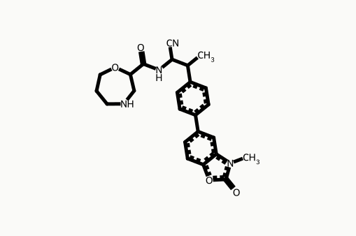 CC(c1ccc(-c2ccc3oc(=O)n(C)c3c2)cc1)C(C#N)NC(=O)C1CNCCCO1